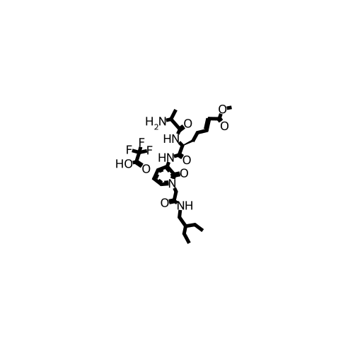 CCC(CC)CNC(=O)Cn1cccc(NC(=O)[C@H](CC/C=C/C(=O)OC)NC(=O)C(C)N)c1=O.O=C(O)C(F)(F)F